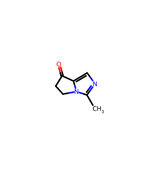 Cc1ncc2n1CCC2=O